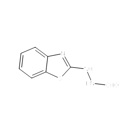 O=CNNc1nc2ccccc2s1